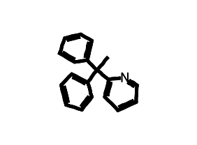 CC(c1ccccc1)(c1ccccc1)c1ccccn1